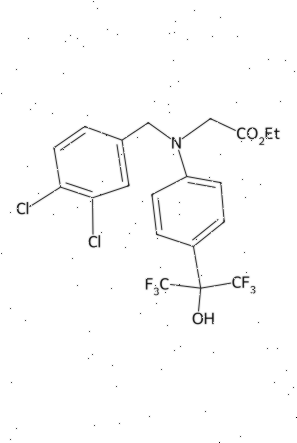 CCOC(=O)CN(Cc1ccc(Cl)c(Cl)c1)c1ccc(C(O)(C(F)(F)F)C(F)(F)F)cc1